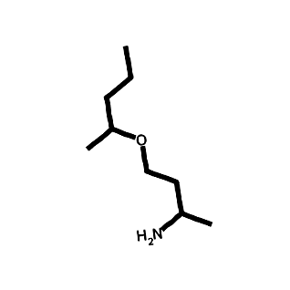 CCCC(C)OCCC(C)N